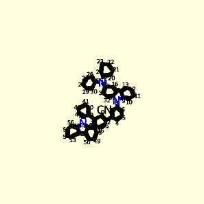 N#Cc1c(-c2cccc(-n3c4ccccc4c4cc(N(c5ccccc5)c5ccccc5)ccc43)c2)cccc1-c1ccccc1-n1c2ccccc2c2ccccc21